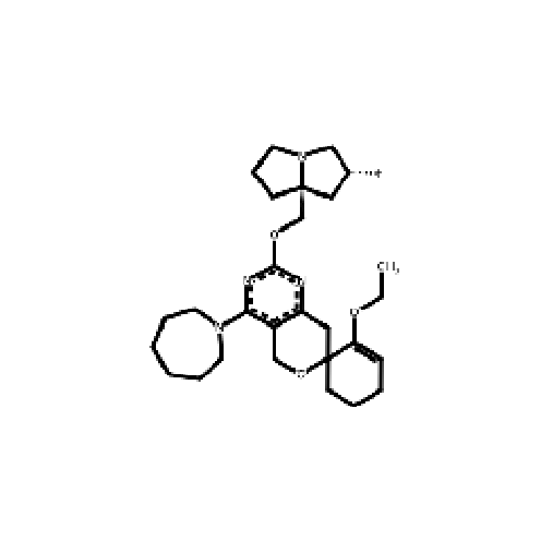 CCOC1=CCCCC12Cc1nc(OC[C@@]34CCCN3C[C@H](F)C4)nc(N3CCCCCC3)c1CO2